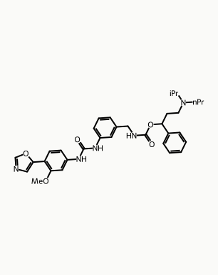 CCCN(CCC(OC(=O)NCc1cccc(NC(=O)Nc2ccc(-c3cnco3)c(OC)c2)c1)c1ccccc1)C(C)C